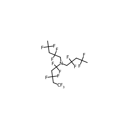 CC(F)(F)CC(F)(F)CN(CC(F)(F)CC(C)(F)F)C(F)(F)CC(F)(F)CC(F)(F)F